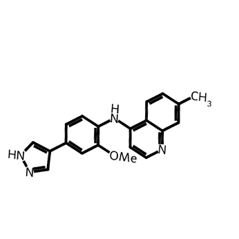 COc1cc(-c2cn[nH]c2)ccc1Nc1ccnc2cc(C)ccc12